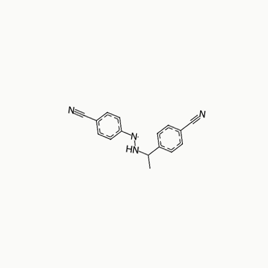 CC(N[N]c1ccc(C#N)cc1)c1ccc(C#N)cc1